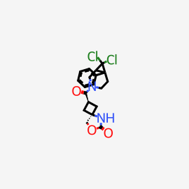 O=C1N[C@]2(CO1)C[C@H](C(=O)N1CCC3(c4ccccc4)C(C1)C3(Cl)Cl)C2